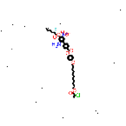 C=C(Cl)C(=O)OCCCCCCCCCCCOc1ccc(OC(=O)c2ccc(-c3cc([N+](=O)[O-])c(OC(=O)C(F)CCCC)cc3N)cc2)cc1